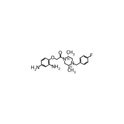 C[C@@H]1CN(Cc2ccc(F)cc2)[C@@H](C)CN1C(=O)COc1ccc(N)cc1N